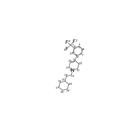 FC(F)(F)c1cccc(C2=CCN(CCC3CCCCC3)CC2)c1